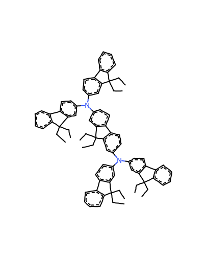 CCC1(CC)c2ccccc2-c2ccc(N(c3ccc4c(c3)C(CC)(CC)c3ccccc3-4)c3ccc4c(c3)C(CC)(CC)c3cc(N(c5ccc6c(c5)C(CC)(CC)c5ccccc5-6)c5ccc6c(c5)C(CC)(CC)c5ccccc5-6)ccc3-4)cc21